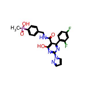 C[P@@](=O)(O)c1ccc(CNC(=O)c2c(O)nc(-n3cccn3)nc2-c2ccc(F)cc2F)cc1